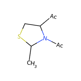 CC(=O)C1CSC(C)N1C(C)=O